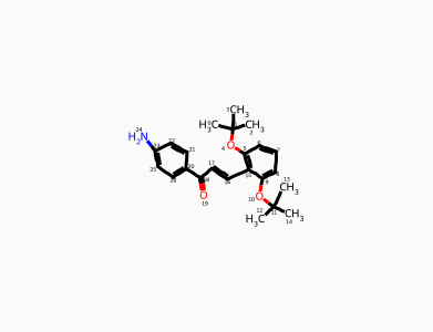 CC(C)(C)Oc1cccc(OC(C)(C)C)c1C=CC(=O)c1ccc(N)cc1